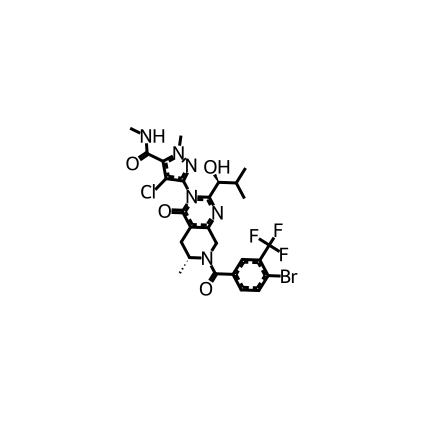 CNC(=O)c1c(Cl)c(-n2c([C@@H](O)C(C)C)nc3c(c2=O)C[C@@H](C)N(C(=O)c2ccc(Br)c(C(F)(F)F)c2)C3)nn1C